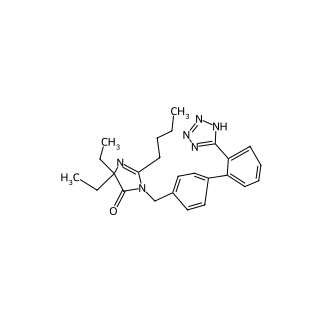 CCCCC1=NC(CC)(CC)C(=O)N1Cc1ccc(-c2ccccc2-c2nnn[nH]2)cc1